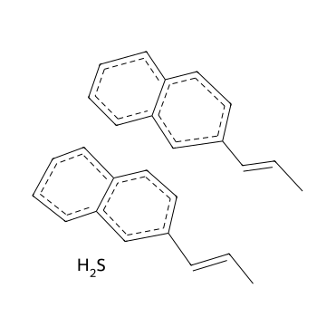 C/C=C/c1ccc2ccccc2c1.C/C=C/c1ccc2ccccc2c1.S